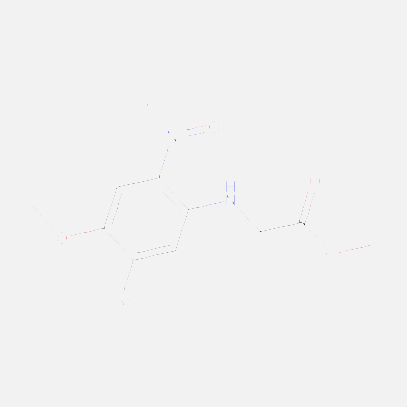 COC(=O)CNc1cc(Br)c(OC)cc1[N+](=O)[O-]